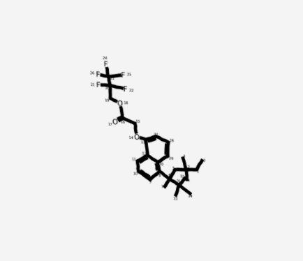 CCC(C)(C)CC(C)(c1cccc2c(OCC(=O)OCC(F)(F)C(F)(F)F)cccc12)C(C)(C)C